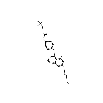 COCCOc1cc(F)c2c(Nc3ccc(NC(=O)OCC(Cl)(Cl)Cl)cc3)ncnc2c1